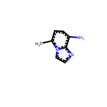 Cc1ccc(N)c2nccn12